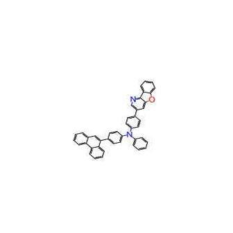 c1ccc(N(c2ccc(-c3cnc4c(c3)oc3ccccc34)cc2)c2ccc(-c3cc4ccccc4c4ccccc34)cc2)cc1